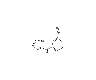 C#Cc1cncc(Nc2ccc[nH]2)c1